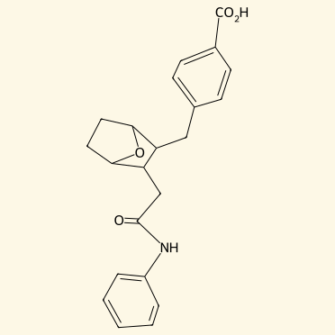 O=C(CC1C2CCC(O2)C1Cc1ccc(C(=O)O)cc1)Nc1ccccc1